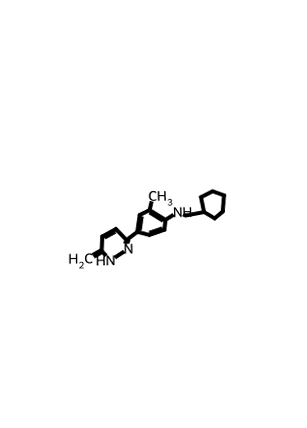 C=C1C=CC(c2ccc(NCC3CCCCC3)c(C)c2)=NN1